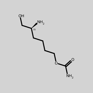 NC(=O)OCCCC[C@H](N)CO